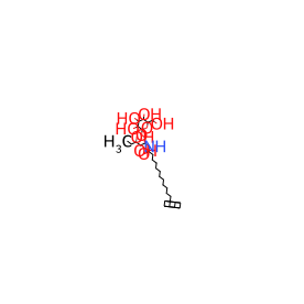 CC[C@@H](O)[C@@H](O)[C@H](COC1OC(CO)C(O)C(O)C1O)NC(=O)CCCCCCCCCCCC12C3C4C5C3C1C5C42